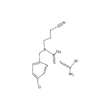 N#CCCCN(Cc1ccc(Cl)cc1)C(O)=S.NC(O)=S